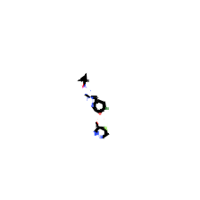 CC1(C(=O)NCc2cc3cc(Cl)c(OCc4cnccc4F)cc3[nH]2)CC1